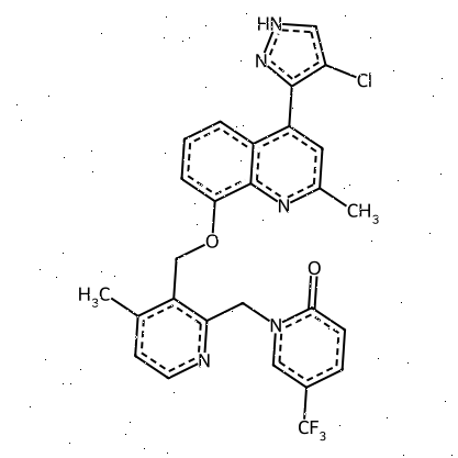 Cc1cc(-c2n[nH]cc2Cl)c2cccc(OCc3c(C)ccnc3Cn3cc(C(F)(F)F)ccc3=O)c2n1